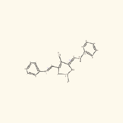 CN1CC(/C=N/c2ccccc2)=C(Cl)C(=C/Nc2ccccc2)/C1